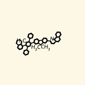 Cc1c(-c2ccccc2)c(-c2ccc3c(c2)C(C)(C)c2cc(-c4ccc5ccc6ccccc6c5n4)ccc2-3)cc(-c2ccccc2)c1-c1cccc2c1CCC=C2